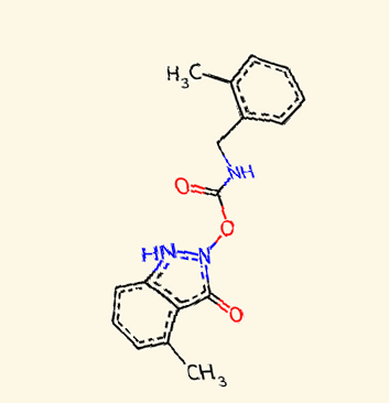 Cc1ccccc1CNC(=O)On1[nH]c2cccc(C)c2c1=O